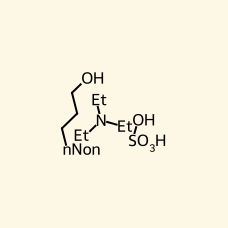 CCCCCCCCCCCCO.CCN(CC)CC.O=S(=O)(O)O